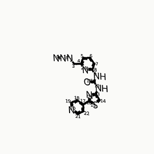 [N-]=[N+]=NCc1cccc(NC(=O)Nc2csc(-c3ccncc3)n2)n1